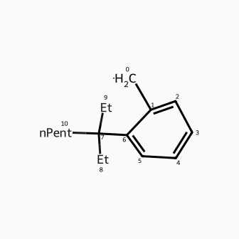 [CH2]c1ccccc1C(CC)(CC)CCCCC